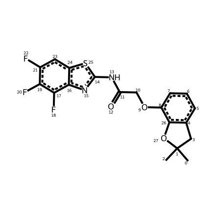 CC1(C)Cc2cccc(OCC(=O)Nc3nc4c(F)c(F)c(F)cc4s3)c2O1